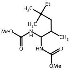 CCC(C)(C)CC(C)C(NC(=O)OC)NC(=O)OC